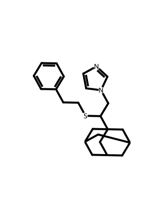 c1ccc(CCSC(Cn2ccnc2)C23CC4CC(CC(C4)C2)C3)cc1